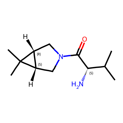 CC(C)[C@H](N)C(=O)N1C[C@@H]2[C@H](C1)C2(C)C